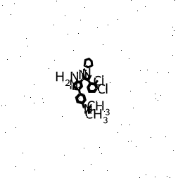 CN(C)Cc1ccc(-c2cnc(N)c(-c3nn(C4CCCCC4)cc3-c3cccc(Cl)c3Cl)c2)cc1